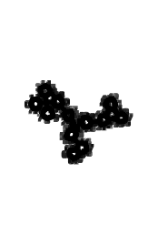 c1ccc(C2(c3ccccc3)c3ccccc3-c3ccc(-c4ccc(N(c5ccc(-c6ccc7c8ccccc8c8ccccc8c7c6)cc5)c5cccc(-c6cccc7ccccc67)c5)cc4)cc32)cc1